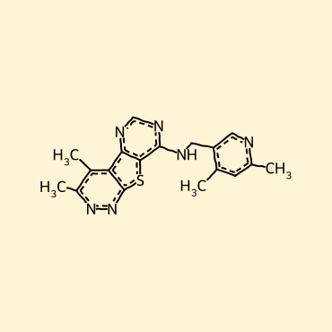 Cc1cc(C)c(CNc2ncnc3c2sc2nnc(C)c(C)c23)cn1